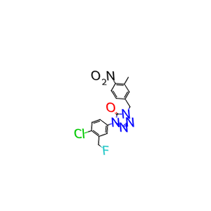 Cc1cc(Cn2nnn(-c3ccc(Cl)c(CF)c3)c2=O)ccc1[N+](=O)[O-]